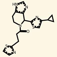 O=C(CCc1nccs1)N1CCc2[nH]cnc2C1c1nc(C2CC2)cs1